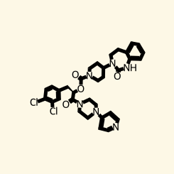 O=C(O[C@H](Cc1ccc(Cl)c(Cl)c1)C(=O)N1CCN(c2ccncc2)CC1)N1CCC(N2CCc3ccccc3NC2=O)CC1